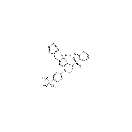 CC(O)(c1ccc(N2CCN(S(=O)(=O)C3=CC=CCC3=S)C[C@@H]2CN(Cc2cccnc2)S(C)(=O)=O)cc1)C(F)(F)F